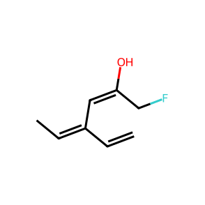 C=CC(=C/C)/C=C(/O)CF